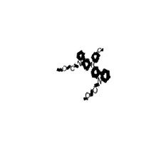 CCOCCOCCn1c2ccccc2c2cc(N(c3ccc(OC)cc3)c3ccc4c(c3)c3ccccc3n4CCOCCOCC)ccc21